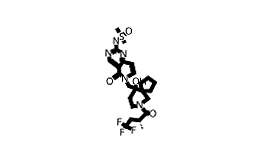 C[C@H](CC(F)(F)F)C(=O)N1CCC(O)(Cn2ccc3nc(N=S(C)(C)=O)ncc3c2=O)C2(CCCC2)C1